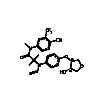 CN(C(=O)C(C)(C)N(C=S)c1ccc(O[C@H]2COC[C@@H]2O)cc1)c1ccc(C#N)c(C(F)(F)F)c1